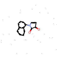 O=C1C=CN(c2cccc3ccccc23)C1=O